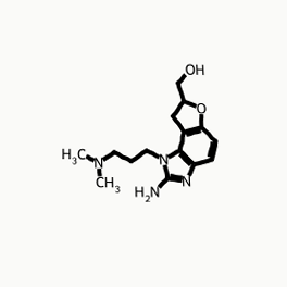 CN(C)CCCn1c(N)nc2ccc3c(c21)CC(CO)O3